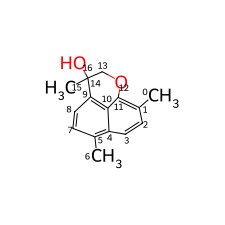 Cc1ccc2c(C)ccc3c2c1OCC3(C)O